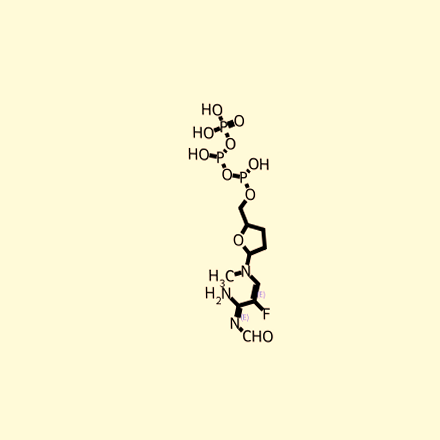 CN(/C=C(F)\C(N)=N/C=O)C1CCC(COP(O)OP(O)OP(=O)(O)O)O1